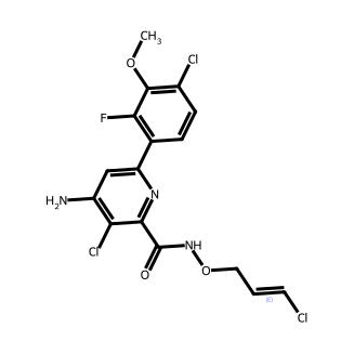 COc1c(Cl)ccc(-c2cc(N)c(Cl)c(C(=O)NOC/C=C/Cl)n2)c1F